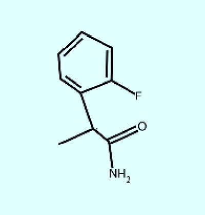 C[C](C(N)=O)c1ccccc1F